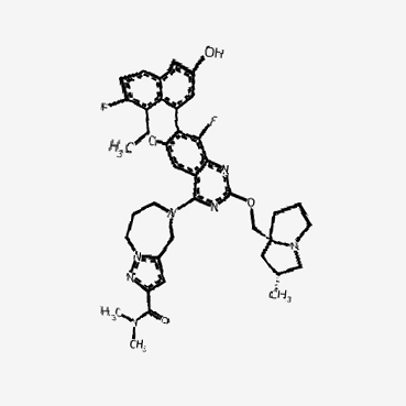 CCc1c(F)ccc2cc(O)cc(-c3c(Cl)cc4c(N5CCCn6nc(C(=O)N(C)C)cc6C5)nc(OC[C@@]56CCCN5C[C@H](C)C6)nc4c3F)c12